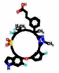 Cn1nc2nc1-c1cc(ccc1F)Oc1c(F)cc3[nH]ccc3c1CCS(=O)(=O)CC(F)(F)C(C)(C)CCC2(C)c1cccc(CCC(=O)O)c1